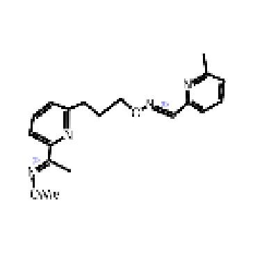 CO/N=C(\C)c1cccc(CCCO/N=C/c2cccc(C)n2)n1